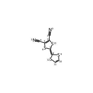 N#CC1=C(C#N)SC(=C2SC=CS2)S1